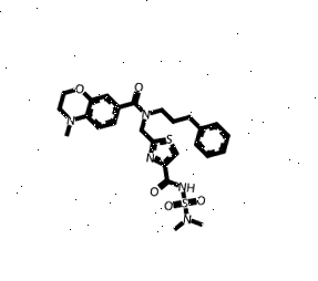 CN1CCOc2cc(C(=O)N(CCCc3ccccc3)Cc3nc(C(=O)NS(=O)(=O)N(C)C)cs3)ccc21